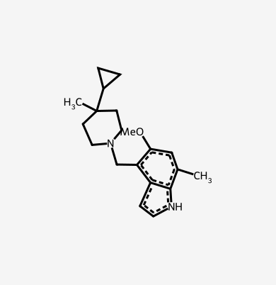 COc1cc(C)c2[nH]ccc2c1CN1CCC(C)(C2CC2)CC1